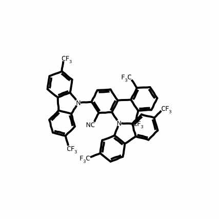 N#Cc1c(-n2c3cc(C(F)(F)F)ccc3c3ccc(C(F)(F)F)cc32)ccc(-c2c(C(F)(F)F)cccc2C(F)(F)F)c1-n1c2cc(C(F)(F)F)ccc2c2ccc(C(F)(F)F)cc21